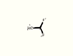 OC(F)F